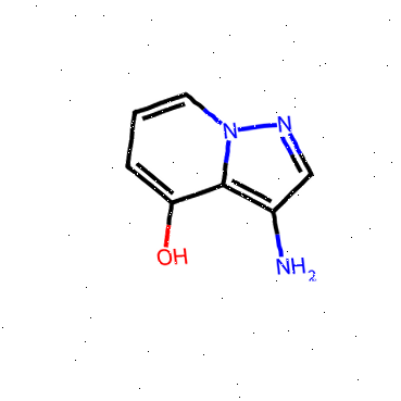 Nc1cnn2cccc(O)c12